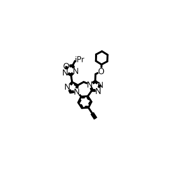 C#Cc1ccc2c(c1)-c1nnc(COC3CCCCC3)n1Cc1c(-c3noc(C(C)C)n3)ncn1-2